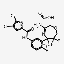 CC1(c2cc(NC(=O)c3cc(Cl)c(Cl)s3)ccc2F)N=C(N)COCC1(F)F.O=CO